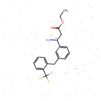 CCOC(=O)C[C@H](N)c1cccc(Cc2ccccc2C(F)(F)F)c1